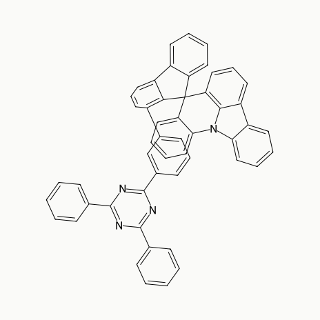 c1ccc(-c2nc(-c3ccccc3)nc(-c3cccc(-c4cccc5c4C4(c6ccccc6-5)c5ccccc5-n5c6ccccc6c6cccc4c65)c3)n2)cc1